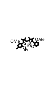 COc1cccc(OC(C)C)c1-c1sc(-c2sc(-c3c(OC)cc(C)cc3OC(C)C)c(C)c2C)c(C)c1C